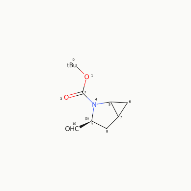 CC(C)(C)OC(=O)N1C2CC2C[C@H]1C=O